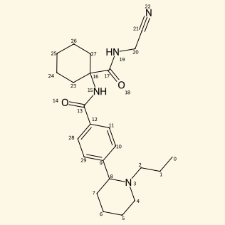 CCCN1CCCCC1c1ccc(C(=O)NC2(C(=O)NCC#N)CCCCC2)cc1